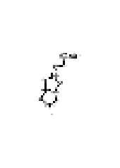 COCCN1CC2CNCC2C1